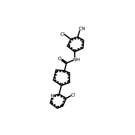 N#Cc1ccc(NC(=O)c2ccc(-c3ncccc3Cl)cc2)cc1Cl